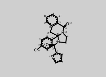 O=C(c1cccs1)N1CCN2C(=O)c3ccccc3CC12c1ccc(Cl)cc1